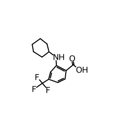 O=C(O)c1ccc(C(F)(F)F)cc1NC1CCCCC1